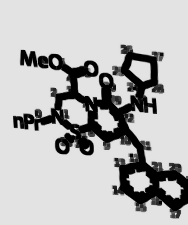 CCCN1CC(C(=O)OC)n2c(cc(Cc3cccc4ccccc34)c(NC3CCCC3)c2=O)S1(=O)=O